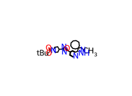 CN1CC2(CCCCCCCC2)C(c2cc(-c3nc(C4CCN(C(=O)OC(C)(C)C)CC4)no3)ccn2)N1